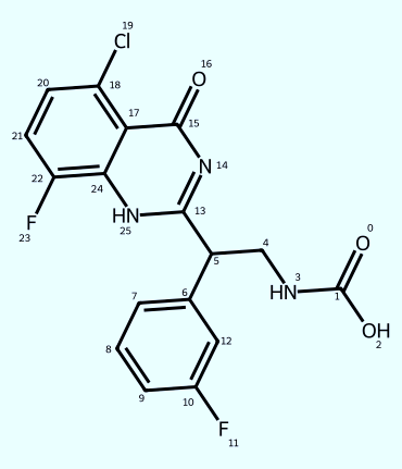 O=C(O)NCC(c1cccc(F)c1)c1nc(=O)c2c(Cl)ccc(F)c2[nH]1